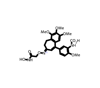 COc1ccc(C2=C/C(=N/OCC(=O)NO)CCc3c2cc(OC)c(OC)c3OC)cc1NC(=O)O